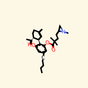 C=C(C)[C@@H]1CCC(C)=C[C@H]1c1c(O)cc(CCCCC)cc1OC(=O)C(C)(C)CCC1CN1C